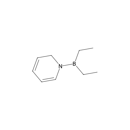 CCB(CC)N1C=CC=CC1